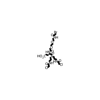 O=C(O)CC[C@@H](NC(=O)COCCOCCNC(=O)CBr)C(=O)N(CCCNC(=O)CCl)CCCNC(=O)CCl